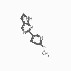 COc1ccc(-c2ncc3cc[nH]c3n2)cn1